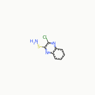 NSc1nc2ccccc2nc1Cl